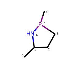 CC1CCP(C)N1